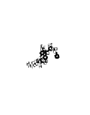 CC(C)(C)OC(=O)N[C@H]1CS(=O)(=O)c2ccc(-c3nnc(C4CN(C(=O)OCc5ccccc5)CC(F)(F)C4)o3)cc2N(Cc2ccc(OC(F)(F)F)cc2)C1=O